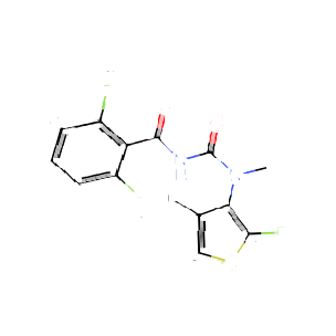 CCc1csc(F)c1N(C)C(=O)NC(=O)c1c(F)cccc1F